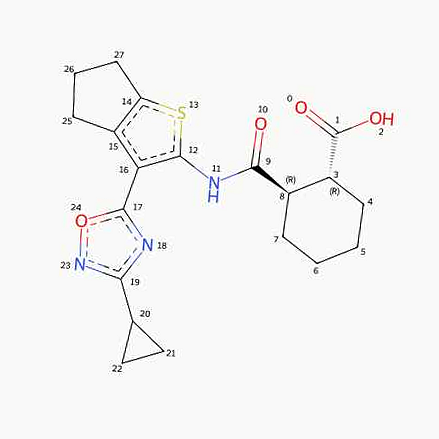 O=C(O)[C@@H]1CCCC[C@H]1C(=O)Nc1sc2c(c1-c1nc(C3CC3)no1)CCC2